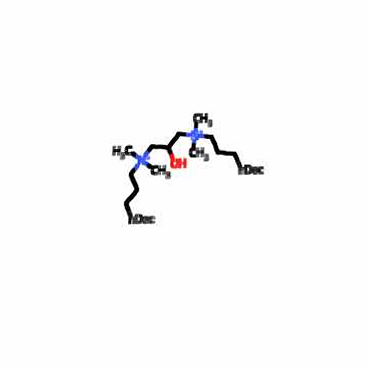 CCCCCCCCCCCCC[N+](C)(C)CC(O)C[N+](C)(C)CCCCCCCCCCCCC